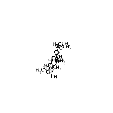 C#C[C@]12CC[C@@H](C(=C)C)[C@@H]1C1CC[C@@H]3[C@@]4(C)CC=C(c5ccc(C(=O)OC(C)(C)C)cc5)C(C)(C)[C@@H]4CC[C@@]3(C)[C@]1(C)CC2